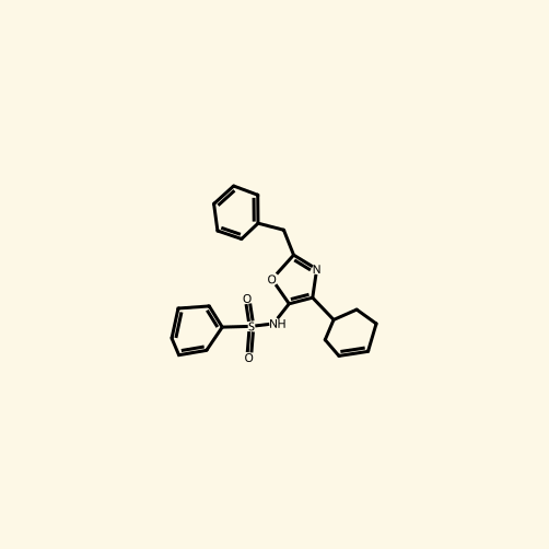 O=S(=O)(Nc1oc(Cc2ccccc2)nc1C1CC=CCC1)c1ccccc1